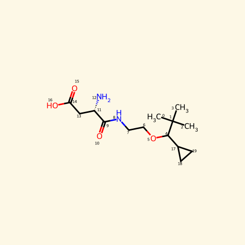 CC(C)(C)C(OCCNC(=O)[C@@H](N)CC(=O)O)C1CC1